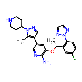 Cc1c(-c2cnc(N)c(O[C@H](C)c3cc(F)ccc3-n3nccn3)c2)cnn1C1CCNCC1